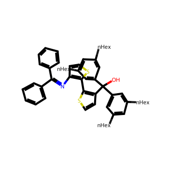 CCCCCCc1cc(CCCCCC)cc(C(O)(c2cc(CCCCCC)cc(CCCCCC)c2)c2ccsc2-c2sccc2N=C(c2ccccc2)c2ccccc2)c1